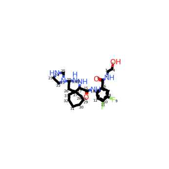 O=C(NCCO)c1cc(F)c(F)cc1NC(=O)C1NNC(N2CCNC2)CC12CCCCCC2